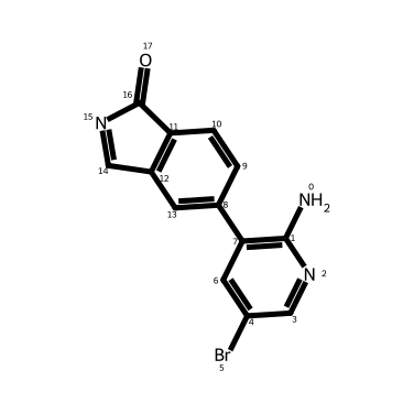 Nc1ncc(Br)cc1-c1ccc2c(c1)C=NC2=O